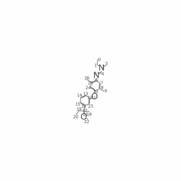 CCN(C)C=Nc1cc(C)c(Oc2cccc(C(C)(CC)OC)c2)cc1C